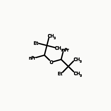 CCCC(OC(CCC)C(C)(C)CC)C(C)(C)CC